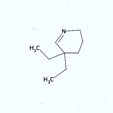 CCC1(CC)C=NCCC1